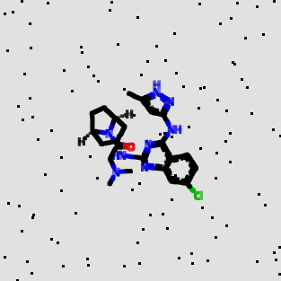 Cc1cc(Nc2nc(N[C@@H]3C[C@H]4CC[C@@H](C3)N4C(=O)CN(C)C)nc3cc(Cl)ccc23)n[nH]1